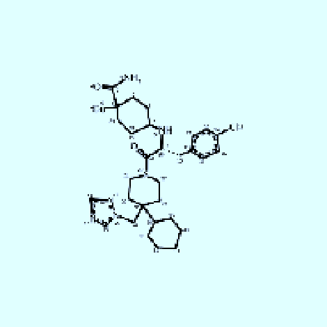 CC(C)(C)C1(C(N)=O)CCC(N[C@H](Cc2ccc(Cl)cc2)C(=O)N2CCC(Cn3cncn3)(C3CCCCC3)CC2)CC1